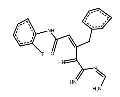 N=C(/N=C\N)C(=N)/C(=C\C(=O)Nc1ccccc1F)Cc1ccccc1